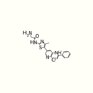 C=C(Nc1cc(-c2sc(NC(=O)CN)nc2C)cnc1Cl)c1ccccc1